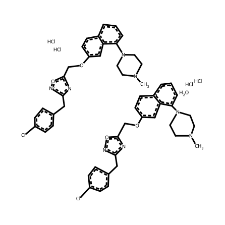 CN1CCN(c2cccc3ccc(OCc4nc(Cc5ccc(Cl)cc5)no4)cc23)CC1.CN1CCN(c2cccc3ccc(OCc4nc(Cc5ccc(Cl)cc5)no4)cc23)CC1.Cl.Cl.Cl.Cl.O